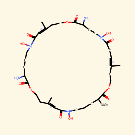 CNC1CCCN(O)C(=O)/C=C(\C)CCOC(=O)C(N)CCCN(O)C(=O)/C=C(/C)CCOC(=O)C(N)CCN(O)C(=O)C/C=C(/C)CCOC1=O